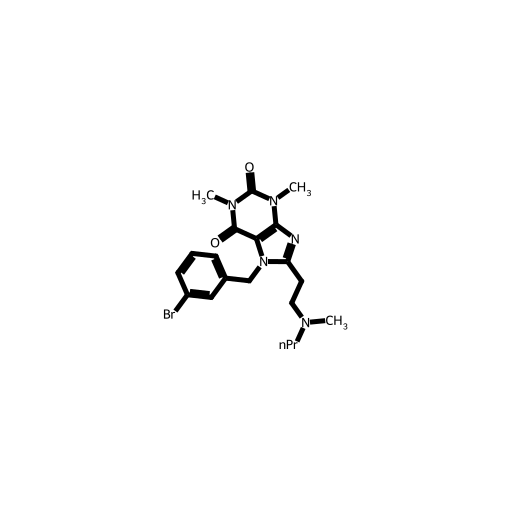 CCCN(C)CCc1nc2c(c(=O)n(C)c(=O)n2C)n1Cc1cccc(Br)c1